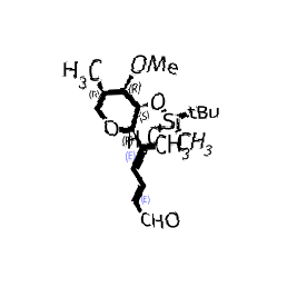 CO[C@H]1[C@H](O[Si](C)(C)C(C)(C)C)[C@@H](/C(C)=C/C=C/C=O)OC[C@H]1C